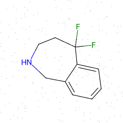 FC1(F)CCNCc2ccccc21